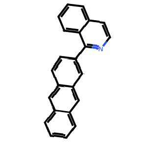 [c]1c(-c2nccc3ccccc23)ccc2cc3ccccc3cc12